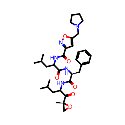 CC(C)CC(NC(=O)c1cc(CN2CCCC2)on1)C(=O)N[C@@H](Cc1ccccc1)C(=O)NC(CC(C)C)C(=O)[C@@]1(C)CO1